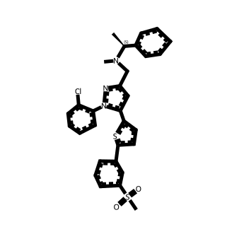 C[C@@H](c1ccccc1)N(C)Cc1cc(-c2ccc(-c3cccc(S(C)(=O)=O)c3)s2)n(-c2ccccc2Cl)n1